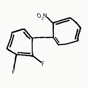 O=[N+]([O-])c1cc[c]cc1-c1cccc(F)c1F